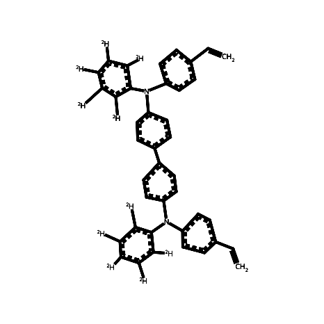 [2H]c1c([2H])c([2H])c(N(c2ccc(C=C)cc2)c2ccc(-c3ccc(N(c4ccc(C=C)cc4)c4c([2H])c([2H])c([2H])c([2H])c4[2H])cc3)cc2)c([2H])c1[2H]